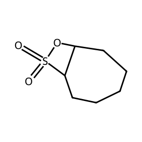 O=S1(=O)OC2CCCCCC21